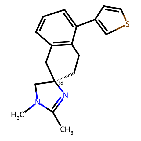 CC1=N[C@@]2(CCc3c(cccc3-c3ccsc3)C2)CN1C